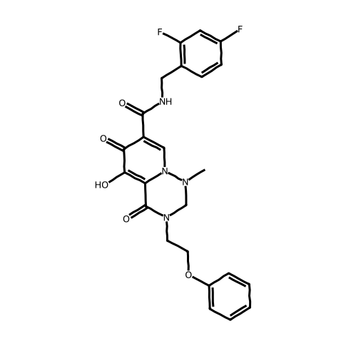 CN1CN(CCOc2ccccc2)C(=O)c2c(O)c(=O)c(C(=O)NCc3ccc(F)cc3F)cn21